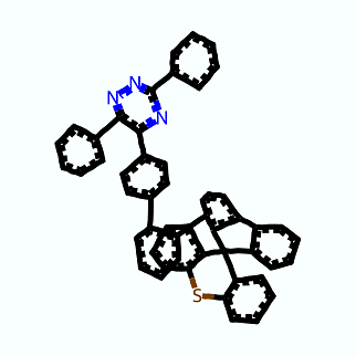 c1ccc(-c2nnc(-c3ccccc3)c(-c3ccc(-c4ccccc4-c4cccc5c4C4(c6ccccc6Sc6ccccc64)c4ccccc4-5)cc3)n2)cc1